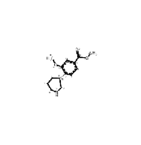 COC(=O)c1ccc([C@H]2CCCNC2)c(OC)c1